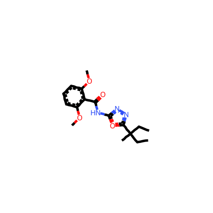 CCC(C)(CC)c1nnc(NC(=O)c2c(OC)cccc2OC)o1